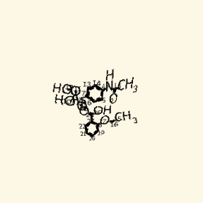 CC(=O)Nc1ccc([As](=O)(O)OO)cc1.CCOc1ccccc1C(=O)O